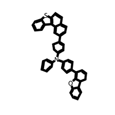 C1=CC(c2ccc(N(C3=CC=C(c4ccc5ccc6sc7ccccc7c6c5c4)CC3)c3ccccc3)cc2)=C2Oc3ccccc3C2C1